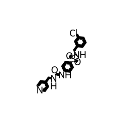 O=C(NCc1ccncc1)Nc1ccc(S(=O)(=O)NCc2cccc(Cl)c2)cc1